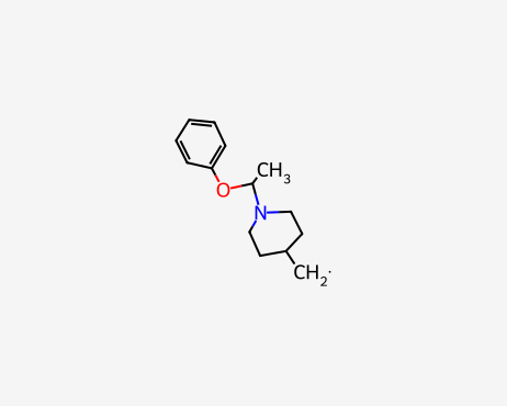 [CH2]C1CCN(C(C)Oc2ccccc2)CC1